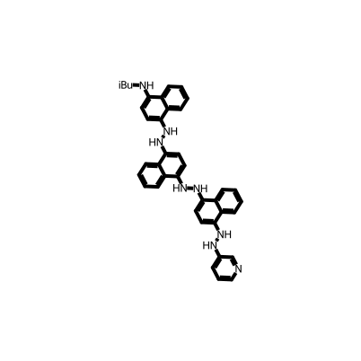 CCC(C)Nc1ccc(NNc2ccc(NNc3ccc(NNc4cccnc4)c4ccccc34)c3ccccc23)c2ccccc12